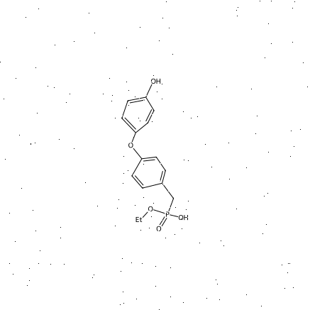 CCOP(=O)(O)Cc1ccc(Oc2ccc(O)cc2)cc1